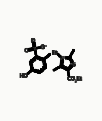 CCOC(=O)c1sc(C)[n+](CC)c1C.Cc1ccc(O)cc1S(=O)(=O)[O-]